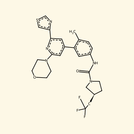 Cc1ccc(NC(=O)N2CC[C@@H](CC(F)(F)F)C2)cc1-c1cc(-c2cscn2)nc(N2CCOCC2)c1